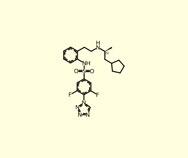 C[C@@H](CC1CCCC1)NCCc1ccccc1NS(=O)(=O)c1cc(F)c(-n2cnnn2)c(F)c1